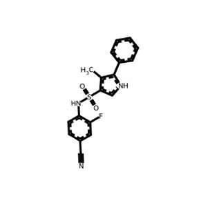 Cc1c(S(=O)(=O)Nc2ccc(C#N)cc2F)c[nH]c1-c1ccccc1